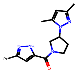 Cc1cc(C)n(C2CCN(C(=O)c3cc(C(C)C)n[nH]3)C2)n1